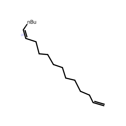 C=CCCCCCCCCC/C=C\CCCC